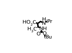 CC(C)NCC(C(=O)O)[C@@H](C)NC(=O)OC(C)(C)C